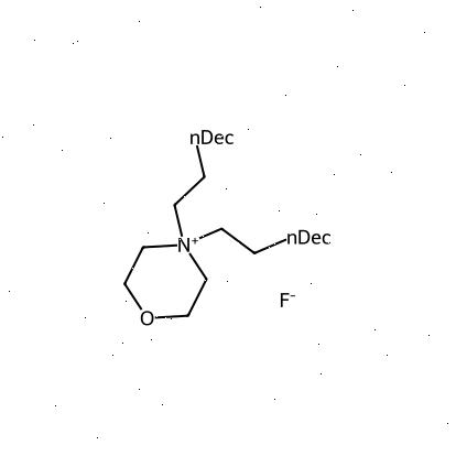 CCCCCCCCCCCC[N+]1(CCCCCCCCCCCC)CCOCC1.[F-]